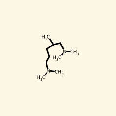 CC(CCCN(C)C)CN(C)C